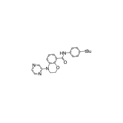 CC(C)(C)c1ccc(NC(=O)c2cccc3c2OCCN3c2cnccn2)cc1